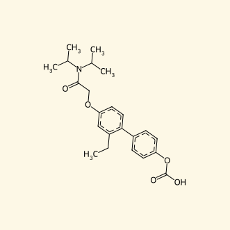 CCc1cc(OCC(=O)N(C(C)C)C(C)C)ccc1-c1ccc(OC(=O)O)cc1